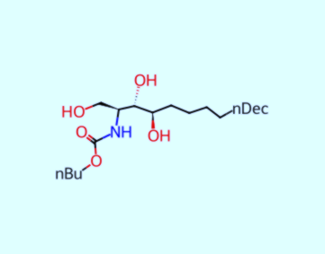 CCCCCCCCCCCCCC[C@@H](O)[C@@H](O)[C@H](CO)NC(=O)OCCCC